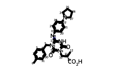 Cc1ccc(Cn2c(=O)n(C[C@H](C)C(=O)O)c(=O)[nH]/c2=N\c2ccc(N3CCCC3)cc2)cc1